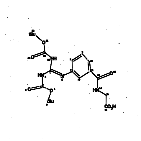 CC(C)(C)OC(=O)NC(=Nc1cccc(C(=O)NCC(=O)O)c1)NC(=O)OC(C)(C)C